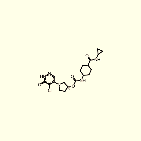 O=C(NC1CCC(C(=O)NC2CC2)CC1)O[C@@H]1CCN(c2cn[nH]c(=O)c2Cl)C1